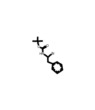 CC(C)(C)OC(=O)N[C](Br)Cc1ccccc1